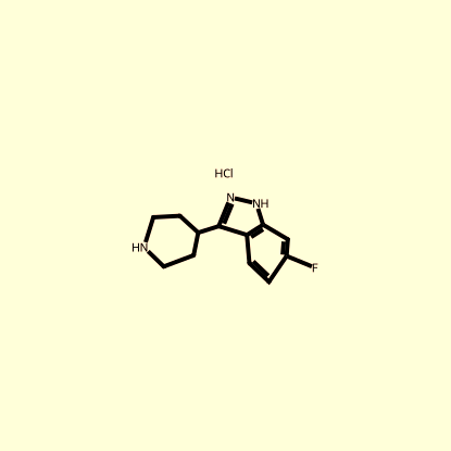 Cl.Fc1ccc2c(C3CCNCC3)n[nH]c2c1